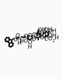 CC1[C@@H](O[C@@H]2C(C(=O)O)O[C@@H](OCCNC(=O)OCC3c4ccccc4-c4ccccc43)[C@@H](O)C2O)OC(CO)[C@@H](O[C@@H]2OC(C(=O)O)[C@@H](O)C(O)[C@@H]2O)[C@@H]1O